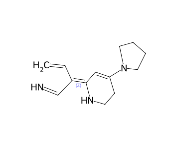 C=C/C(C=N)=C1\C=C(N2CCCC2)CCN1